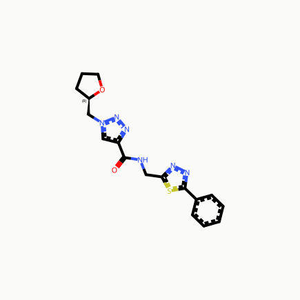 O=C(NCc1nnc(-c2ccccc2)s1)c1cn(C[C@H]2CCCO2)nn1